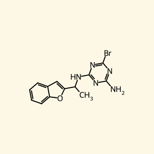 CC(Nc1nc(N)nc(Br)n1)c1cc2ccccc2o1